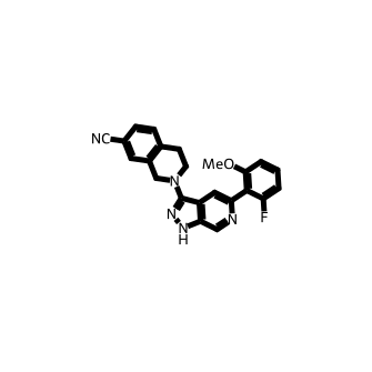 COc1cccc(F)c1-c1cc2c(N3CCc4ccc(C#N)cc4C3)n[nH]c2cn1